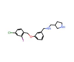 Clc1ccc(COc2cccc(CNCC3CCNC3)c2)c(I)c1